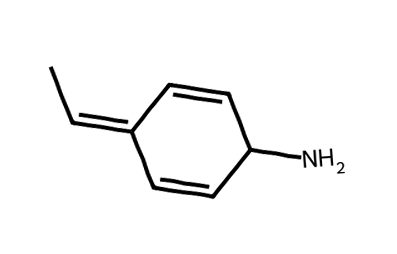 CC=C1C=CC(N)C=C1